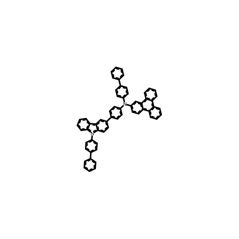 c1ccc(-c2ccc(N(c3ccc(-c4ccc5c(c4)c4ccccc4n5-c4ccc(-c5ccccc5)cc4)cc3)c3ccc4c5ccccc5c5ccccc5c4c3)cc2)cc1